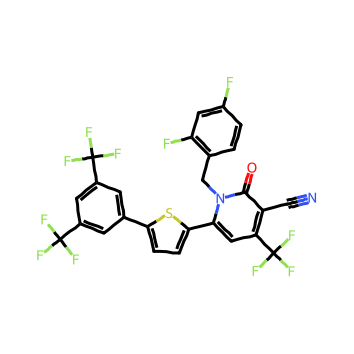 N#Cc1c(C(F)(F)F)cc(-c2ccc(-c3cc(C(F)(F)F)cc(C(F)(F)F)c3)s2)n(Cc2ccc(F)cc2F)c1=O